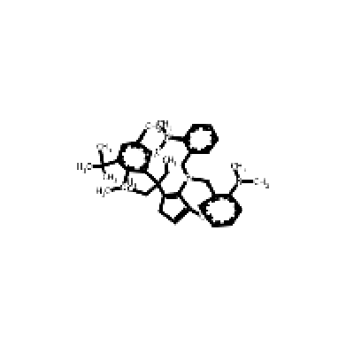 CCC(CC)(C1=[C]([Y]([CH2]c2ccccc2N(C)C)[CH2]c2ccccc2N(C)C)C(C)=CC1)c1cc(C)cc(C(C)(C)C)c1OC